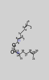 CC(C)=CCC/C(C)=C/COC1O/C1=C(\C)CCC=C(C)C